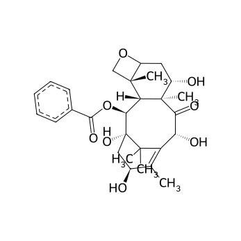 CC1=C2[C@@H](O)C(=O)[C@]3(C)[C@@H](O)CC4OC[C@@]4(C)[C@H]3[C@H](OC(=O)c3ccccc3)[C@](O)(C[C@@H]1O)C2(C)C